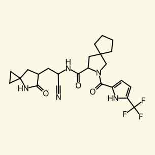 N#CC(CC1CC2(CC2)NC1=O)NC(=O)C1CC2(CCCC2)CN1C(=O)c1ccc(C(F)(F)F)[nH]1